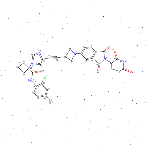 O=C1CCC(N2C(=O)c3ccc(N4CC(C#Cc5cn(C6(C(=O)Nc7ccc(C(F)(F)F)cc7Cl)CCC6)cn5)C4)cc3C2=O)C(=O)N1